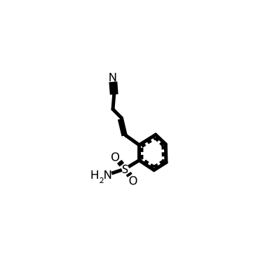 N#CC/C=C/c1ccccc1S(N)(=O)=O